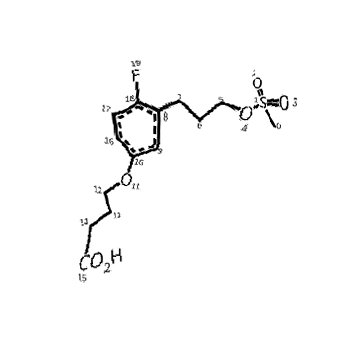 CS(=O)(=O)OCCCc1cc(OCCCC(=O)O)ccc1F